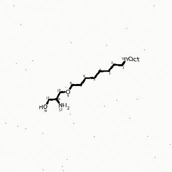 CCCCCCCCCCCCCCCCOCC(N)CO